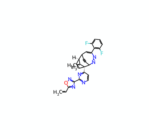 C=Cc1nc(-c2nccc([C@@]34CC[C@@H](C5C#CC3/N=N\C(c3c(F)cccc3F)=C/5)C4(C)C)n2)no1